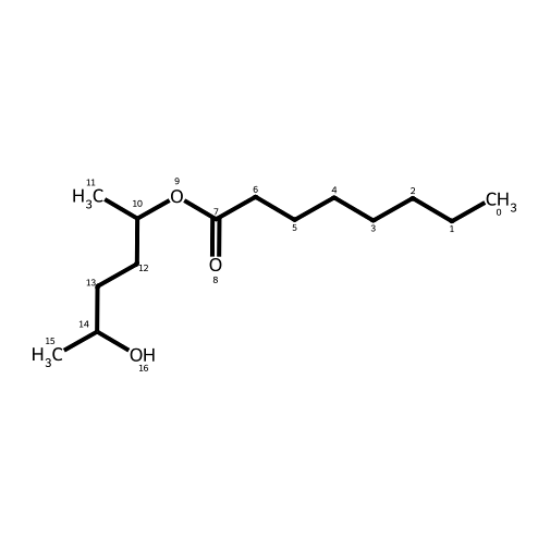 CCCCCCCC(=O)OC(C)CCC(C)O